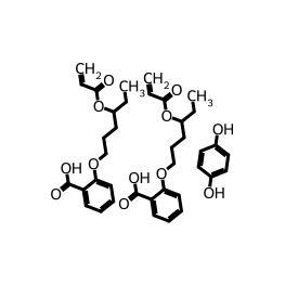 C=CC(=O)OC(CC)CCCOc1ccccc1C(=O)O.C=CC(=O)OC(CC)CCCOc1ccccc1C(=O)O.Oc1ccc(O)cc1